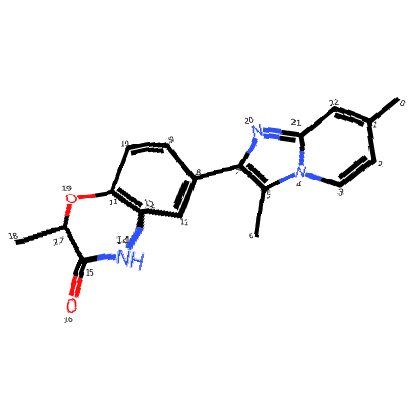 Cc1ccn2c(C)c(-c3ccc4c(c3)NC(=O)C(C)O4)nc2c1